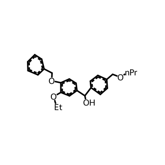 CCCOCc1ccc(C(O)c2ccc(OCc3ccccc3)c(OCC)c2)cc1